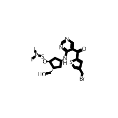 O=C(c1cc(CBr)cs1)c1cncnc1N[C@@H]1C[C@H](CO)[C@@H](OSP(I)I)C1